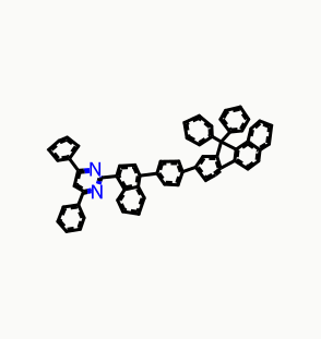 c1ccc(-c2cc(-c3ccccc3)nc(-c3ccc(-c4ccc(-c5ccc6c(c5)C(c5ccccc5)(c5ccccc5)c5c-6ccc6ccccc56)cc4)c4ccccc34)n2)cc1